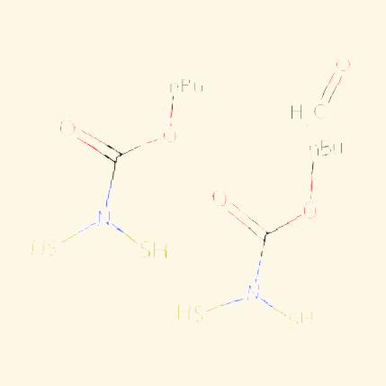 C=O.CCCCOC(=O)N(S)S.CCCCOC(=O)N(S)S